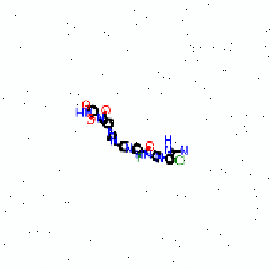 N#Cc1c[nH]c2c(N3CCC(NC(=O)c4ccc(N5CCC(CN6CCN(c7ccc8c(c7)CN(C7CCC(=O)NC7=O)C8=O)CC6)CC5)cc4F)CC3)ccc(Cl)c12